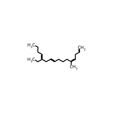 C=CCC=C(C)CCCC=CCC(=CCCC)CC